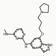 CNc1ccnc(Nc2cc(OCCCN3CCCC3)c3[nH]ncc3c2)n1